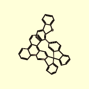 c1ccc2c(c1)-c1ccc(-c3cccc4c3oc3ccccc34)cc1C21c2ccccc2-c2cc3c4ccccc4c4ccccc4c3cc21